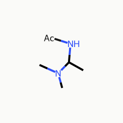 CC(=O)NC(C)N(C)C